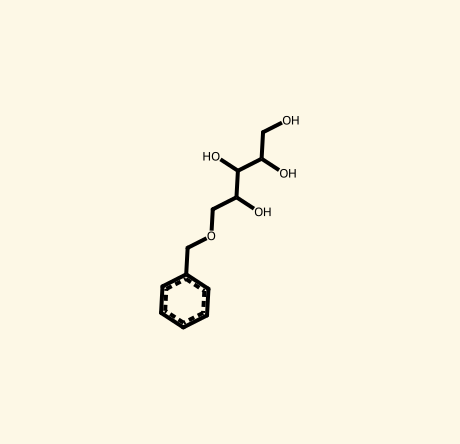 OCC(O)C(O)C(O)COCc1ccccc1